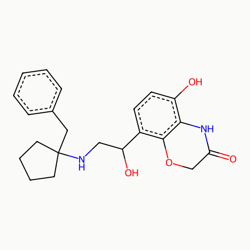 O=C1COc2c(C(O)CNC3(Cc4ccccc4)CCCC3)ccc(O)c2N1